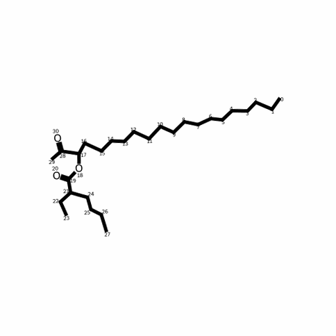 CCCCCCCCCCCCCCCCCC(OC(=O)C(CC)CCCC)C(C)=O